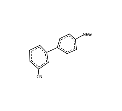 CNc1ccc(-c2cccc(C#N)c2)cc1